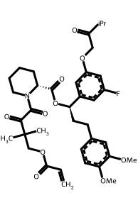 C=CC(=O)OCC(C)(C)C(=O)C(=O)N1CCCC[C@@H]1C(=O)O[C@H](CCc1ccc(OC)c(OC)c1)c1cc(F)cc(OCC(=O)C(C)C)c1